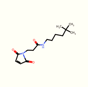 CC(C)(C)CCCCNC(=O)CCN1C(=O)C=CC1=O